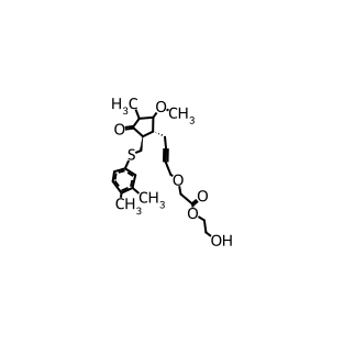 COC1C(C)C(=O)[C@H](CSc2ccc(C)c(C)c2)[C@H]1CC#CCOCC(=O)OCCO